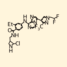 CCc1cc(Nc2nccn3c(-c4cn(CC(F)F)nc4C(F)(F)F)cnc23)ccc1C(=O)NCC1CNC1Cl